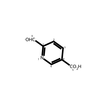 O=[C]c1ccc(C(=O)O)cn1